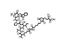 CCC(C)C(C(CC(=O)N1CCC[C@H]1C(OC)C(C)C(=O)NC(Cc1c[nH]c2ccccc12)C(N)=O)OC)N(C)C(=O)C(NC(=O)C(C(C)C)N(C)CCCC(=O)NNC(=O)CCCCCN1C(=O)CC(SCC(N)C(=O)O)C1=O)C(C)C